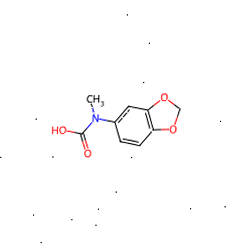 CN(C(=O)O)c1ccc2c(c1)OCO2